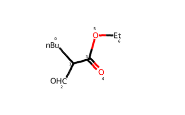 CCCCC(C=O)C(=O)OCC